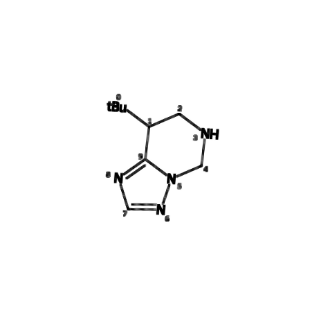 CC(C)(C)C1CNCn2ncnc21